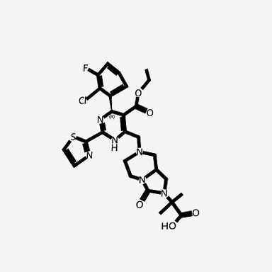 CCOC(=O)C1=C(CN2CCN3C(=O)N(C(C)(C)C(=O)O)CC3C2)NC(c2nccs2)=N[C@H]1c1cccc(F)c1Cl